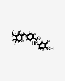 CCC1=C(C)C(=Cc2ccc(C(=O)Nc3ccc(O)c(I)c3)cc2)CCC1(C)C